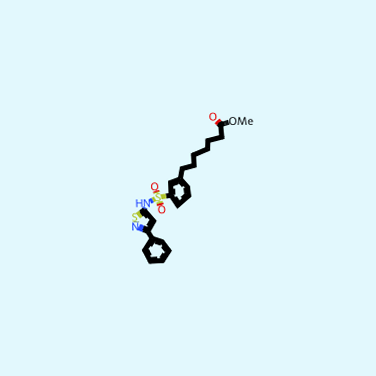 COC(=O)CCCCCCc1cccc(S(=O)(=O)Nc2cc(-c3ccccc3)ns2)c1